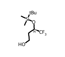 CC(C)(C)[Si](C)(C)O[C@H](CCO)C(F)(F)F